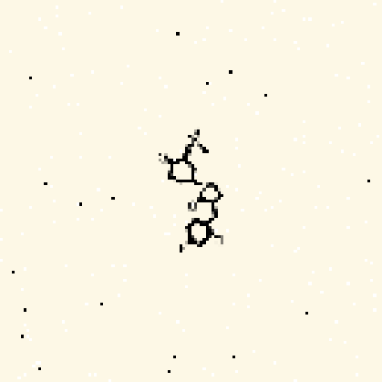 CN(C)C=C1CC(N2CCC(Cc3ccc(F)cc3Cl)C2=O)CCC1=O